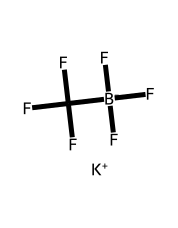 F[B-](F)(F)C(F)(F)F.[K+]